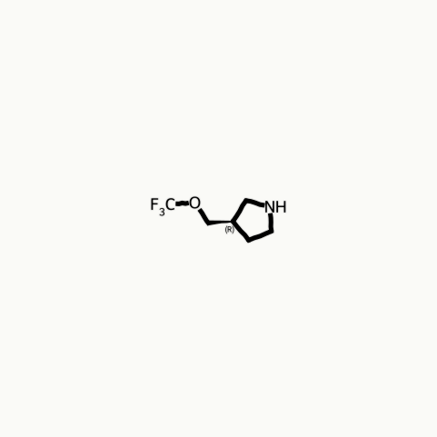 FC(F)(F)OC[C@@H]1CCNC1